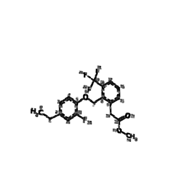 CCc1ccc(OCc2c(CC(=O)OC)cccc2C(F)(F)F)c(F)c1